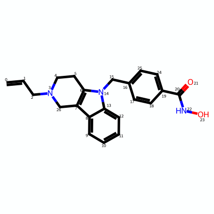 C=CCN1CCc2c(c3ccccc3n2Cc2ccc(C(=O)NO)cc2)C1